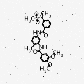 COc1ccc(C(=O)Nc2cc(NC(=O)c3cccc(N(C)S(C)(=O)=O)c3)ccc2C)cc1OC